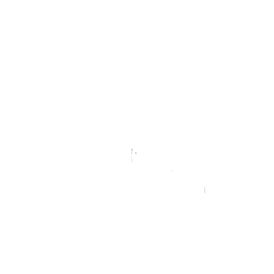 CCc1cc2c(Cl)cc(F)c(NC(=O)Oc3ccccc3)c2o1